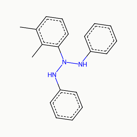 Cc1cccc(N(Nc2ccccc2)Nc2ccccc2)c1C